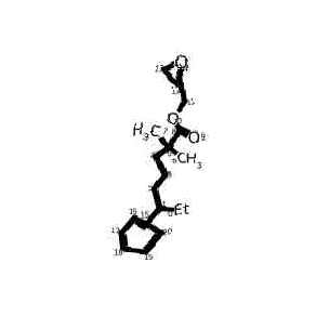 CCC(CCCC(C)(C)C(=O)OCC1CO1)c1ccccc1